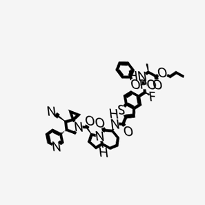 CCCOC(=O)[C@H](C)NP(=O)(Oc1ccccc1)[C@@H](F)c1ccc2sc(C(=O)N[C@H]3CCC[C@H]4CC[C@@H](C(=O)N5C[C@H](c6cccnc6)[C@@H](C#N)C56CC6)N4C3=O)cc2c1